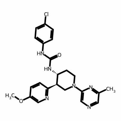 COc1ccc([C@@H]2CN(c3cncc(C)n3)CC[C@H]2NC(=O)Nc2ccc(Cl)cc2)nc1